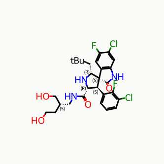 CC(C)(C)C[C@H]1N[C@@H](C(=O)NC[C@@H](CO)CCO)[C@H](c2cccc(Cl)c2F)[C@@]12C(=O)Nc1cc(Cl)c(F)cc12